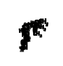 CCOc1cc(CN2CCC(Nc3nc4cc(NC(=O)C5CCC5)ccc4o3)CC2)cc(OCC)c1N